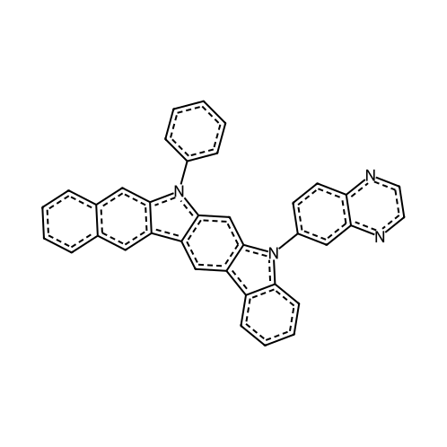 c1ccc(-n2c3cc4ccccc4cc3c3cc4c5ccccc5n(-c5ccc6nccnc6c5)c4cc32)cc1